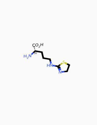 N[C@@H](CCCNC1=NCCS1)C(=O)O